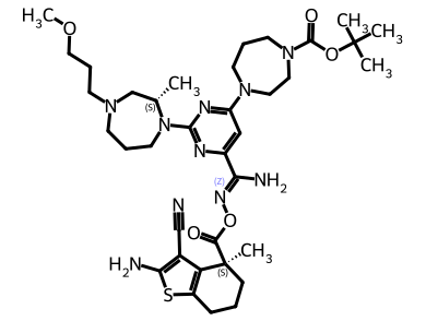 COCCCN1CCCN(c2nc(/C(N)=N/OC(=O)[C@@]3(C)CCCc4sc(N)c(C#N)c43)cc(N3CCCN(C(=O)OC(C)(C)C)CC3)n2)[C@@H](C)C1